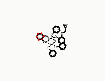 c1ccc(ON2P(Oc3ccccc3)N=P(Oc3ccccc3)(Oc3ccccc3OCC3CO3)N(Oc3ccccc3)P2Oc2ccccc2)cc1